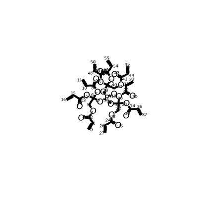 C=CC(=O)OCC(OC(=O)C=C)(OC(=O)C=C)OP(=O)(OC(COC(=O)C=C)(OC(=O)C=C)OC(=O)C=C)OC(COC(=O)C=C)(OC(=O)C=C)OC(=O)C=C